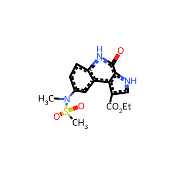 CCOC(=O)c1c[nH]c2c(=O)[nH]c3ccc(N(C)S(C)(=O)=O)cc3c12